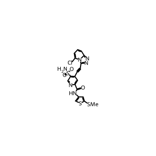 CSc1cc(NC(=O)c2cc(C#Cc3nnc4cccc(Cl)n34)c(S(N)(=O)=O)cn2)cs1